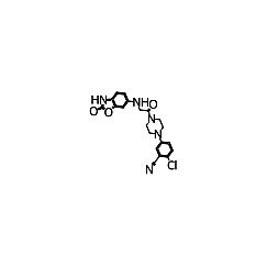 N#Cc1cc(N2CCN(C(=O)CNc3ccc4[nH]c(=O)oc4c3)CC2)ccc1Cl